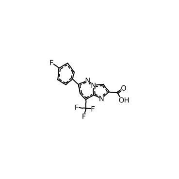 O=C(O)c1cn2nc(-c3ccc(F)cc3)cc(C(F)(F)F)c2n1